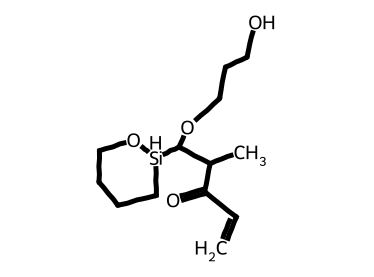 C=CC(=O)C(C)C(OCCCO)[SiH]1CCCCO1